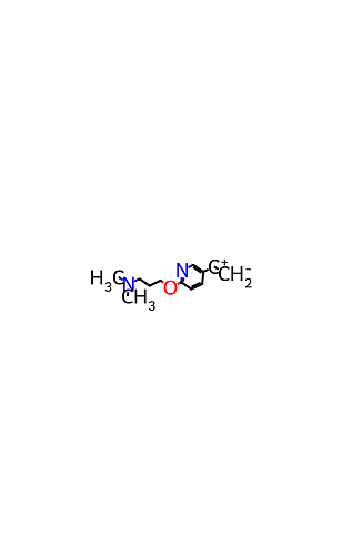 [CH2-][CH+]c1ccc(OCCCN(C)C)nc1